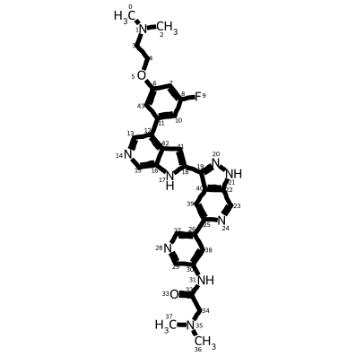 CN(C)CCOc1cc(F)cc(-c2cncc3[nH]c(-c4n[nH]c5cnc(-c6cncc(NC(=O)CN(C)C)c6)cc45)cc23)c1